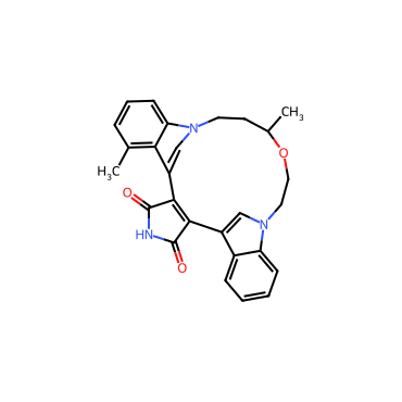 Cc1cccc2c1c1cn2CCC(C)OCCn2cc(c3ccccc32)C2=C1C(=O)NC2=O